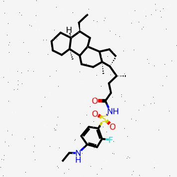 CCNc1ccc(S(=O)(=O)NC(=O)CC[C@@H](C)[C@H]2CCC3C4C[C@H](CC)[C@@H]5CCCC[C@]5(C)C4CC[C@@]32C)c(F)c1